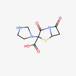 O=C1CC2SC(C(=O)O)(N3CCNC3)C(=O)N12